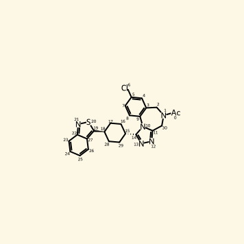 CC(=O)N1Cc2cc(Cl)ccc2-n2c(nnc2[C@H]2CC[C@H](c3snc4ccccc43)CC2)C1